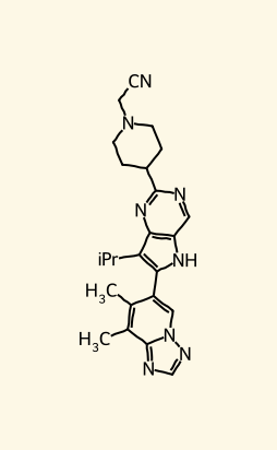 Cc1c(-c2[nH]c3cnc(C4CCN(CC#N)CC4)nc3c2C(C)C)cn2ncnc2c1C